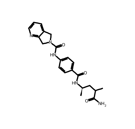 CC(C[C@@H](C)NC(=O)c1ccc(NC(=O)N2Cc3cccnc3C2)cc1)C(N)=O